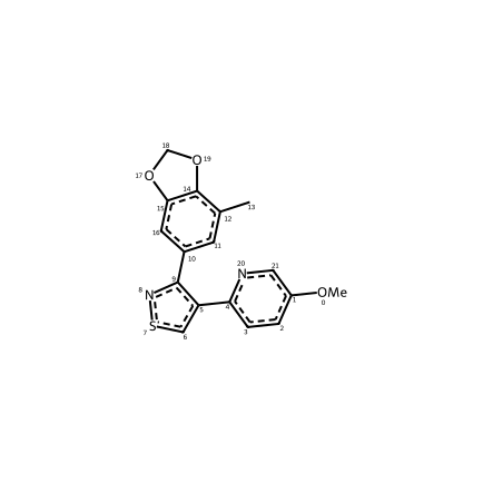 COc1ccc(-c2csnc2-c2cc(C)c3c(c2)OCO3)nc1